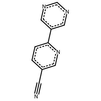 N#Cc1ccc(-c2cncnc2)nc1